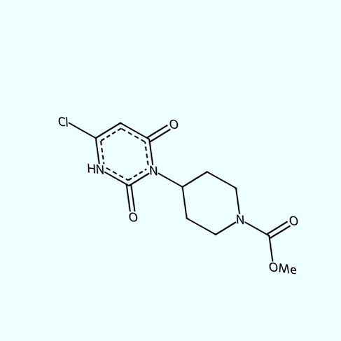 COC(=O)N1CCC(n2c(=O)cc(Cl)[nH]c2=O)CC1